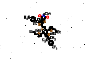 CCCCCCCCN1C(=O)c2sc3c(-c4cc5c(-c6ccc(CC(CC)CCCC)s6)c6sc(C(C)(C)c7ccc(C(F)(F)F)cc7)cc6c(-c6ccc(CC(CC)CCCC)s6)c5s4)sc(C(C)(CC)c4ccc(C)cc4)c3c2C1=O